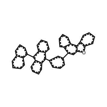 c1cc(-c2c3ccccc3c(-c3cccc4ccccc34)c3ccccc23)cc(-c2cc3oc4ccccc4c3c3ccccc23)c1